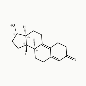 O=C1C=C2CC[C@@H]3C(=C2CC1)CC[C@H]1[C@H]3CC[C@@H]1O